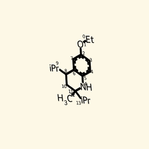 CCOc1ccc2c(c1)C(C(C)C)CC(C)(C(C)C)N2